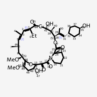 CC/C1=C\C(C)=C/[C@H](C)C[C@H](OC)[C@H]2O[C@@](O)(C(=O)C(=O)N3CCCC[C@H]3C(=O)O[C@H](/C(C)=C/[C@H]3CC[C@H](O)CC3)[C@H](C)[C@@H](O)CC1=O)[C@H](C)C[C@@H]2OC